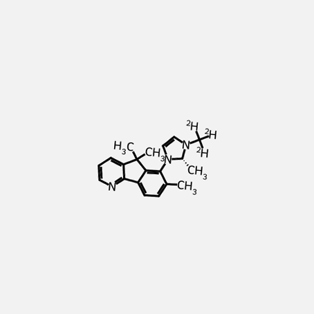 [2H]C([2H])([2H])N1C=CN(c2c(C)ccc3c2C(C)(C)c2cccnc2-3)[C@H]1C